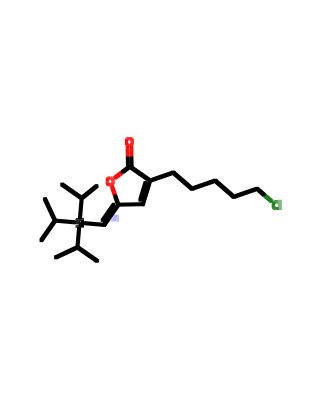 CC(C)[Si](/C=C1/C=C(CCCCCCl)C(=O)O1)(C(C)C)C(C)C